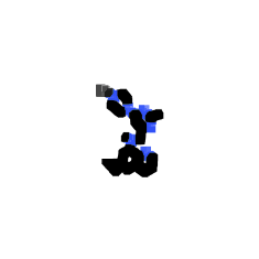 CCN1CCN(c2cc(CN(C)C3CC4(CC4)Cc4cccnc43)nc(C)n2)CC1